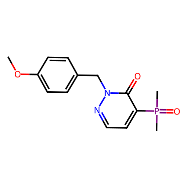 COc1ccc(Cn2nccc(P(C)(C)=O)c2=O)cc1